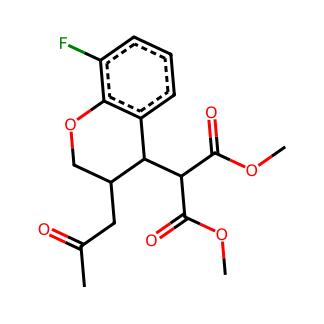 COC(=O)C(C(=O)OC)C1c2cccc(F)c2OCC1CC(C)=O